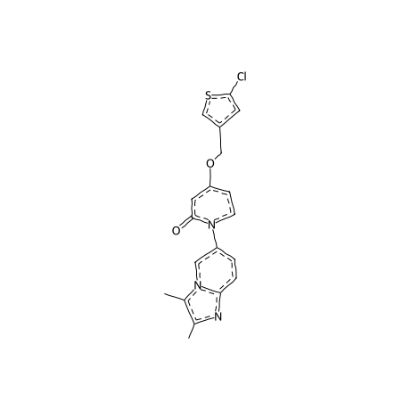 Cc1nc2ccc(-n3ccc(OCc4csc(Cl)c4)cc3=O)cn2c1C